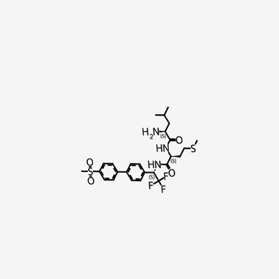 CSCC[C@H](NC(=O)[C@@H](N)CC(C)C)C(=O)N[C@@H](c1ccc(-c2ccc(S(C)(=O)=O)cc2)cc1)C(F)(F)F